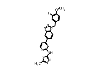 COc1ccc(Cn2nnc3cc(-c4ccnc(Nc5nnc(C)s5)n4)ccc32)cc1F